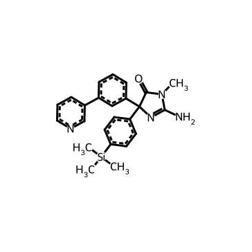 CN1C(=O)C(c2ccc([Si](C)(C)C)cc2)(c2cccc(-c3cccnc3)c2)N=C1N